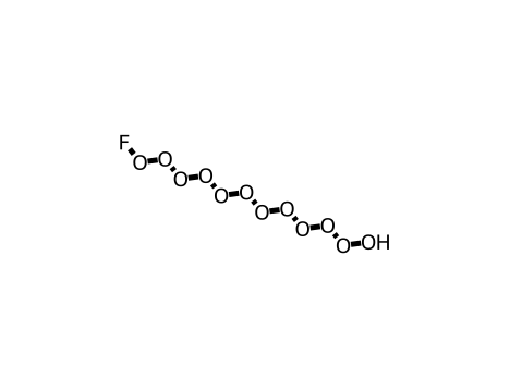 OOOOOOOOOOOOF